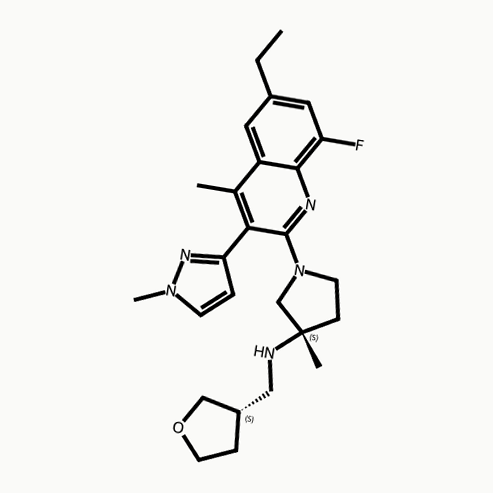 CCc1cc(F)c2nc(N3CC[C@](C)(NC[C@@H]4CCOC4)C3)c(-c3ccn(C)n3)c(C)c2c1